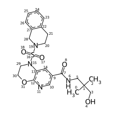 CC(C)(CO)CNC(=O)c1cnc2c(c1)N(S(=O)(=O)N1CCc3ccccc3C1)CCO2